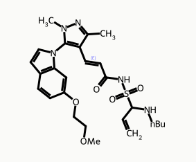 C=CC(NCCCC)S(=O)(=O)NC(=O)/C=C/c1c(C)nn(C)c1-n1ccc2ccc(OCCOC)cc21